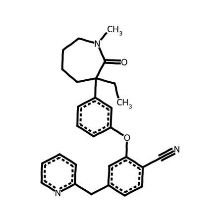 CCC1(c2cccc(Oc3cc(Cc4ccccn4)ccc3C#N)c2)CCCCN(C)C1=O